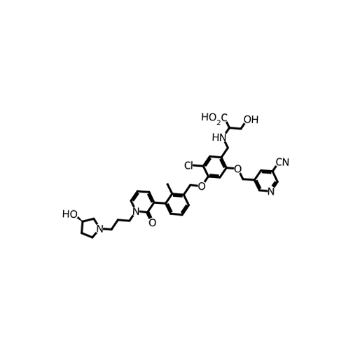 Cc1c(COc2cc(OCc3cncc(C#N)c3)c(CNC(CO)C(=O)O)cc2Cl)cccc1-c1cccn(CCCN2CC[C@@H](O)C2)c1=O